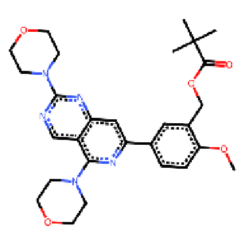 COc1ccc(-c2cc3nc(N4CCOCC4)ncc3c(N3CCOCC3)n2)cc1COC(=O)C(C)(C)C